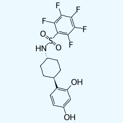 O=S(=O)(N[C@H]1CC[C@H](c2ccc(O)cc2O)CC1)c1c(F)c(F)c(F)c(F)c1F